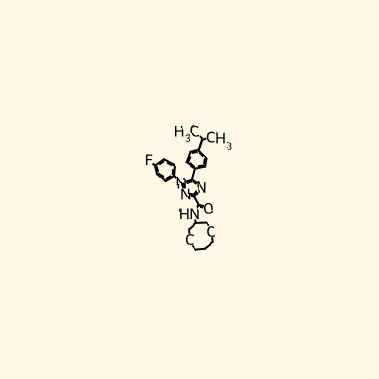 CC(C)c1ccc(-c2nc(C(=O)NC3CCCCCCC3)nn2-c2ccc(F)cc2)cc1